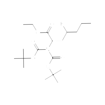 CCCC(F)C[C@@H](C(=O)OCC)N(C(=O)OC(C)(C)C)C(=O)OC(C)(C)C